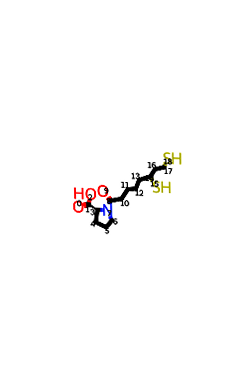 O=C(O)[C@@H]1CCCN1C(=O)CCCCC(S)CCS